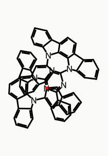 c1ccc(-c2nc(-n3c4ccccc4c4ccc5c6ccccc6n(-c6ccc7ccccc7c6)c5c43)nc(-n3c4ccccc4c4ccc5c6ccccc6n(-c6ccc7ccccc7c6)c5c43)n2)cc1